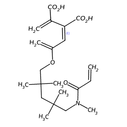 C=CC(=O)N(C)CC(C)(C)CC(C)(C)COC(=C)/C=C(\C(=C)C(=O)O)C(=O)O